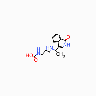 CC(NCCCNC(=O)O)c1c[nH]c(=O)c2ccccc12